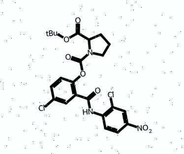 CC(C)(C)OC(=O)C1CCCN1C(=O)Oc1ccc(Cl)cc1C(=O)Nc1ccc([N+](=O)[O-])cc1Cl